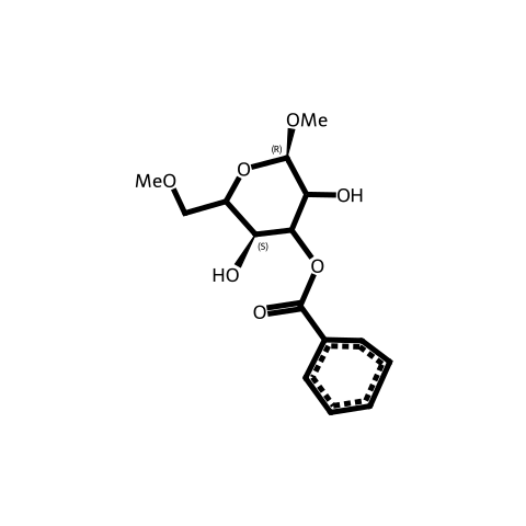 COCC1O[C@@H](OC)C(O)C(OC(=O)c2ccccc2)[C@H]1O